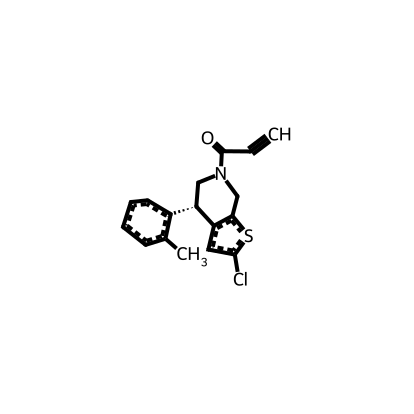 C#CC(=O)N1Cc2sc(Cl)cc2[C@H](c2ccccc2C)C1